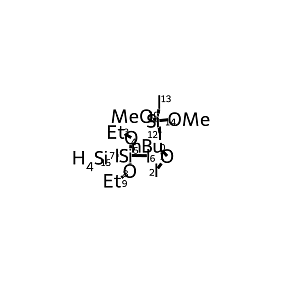 CCCCOI.CCO[Si](I)(I)OCC.CO[Si](I)(I)OC.[SiH4]